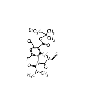 CCOC(=O)C(C)(C)OC(=O)c1cc(N(C(=O)N(C)C)C(=O)N(C)C=S)c(F)cc1Cl